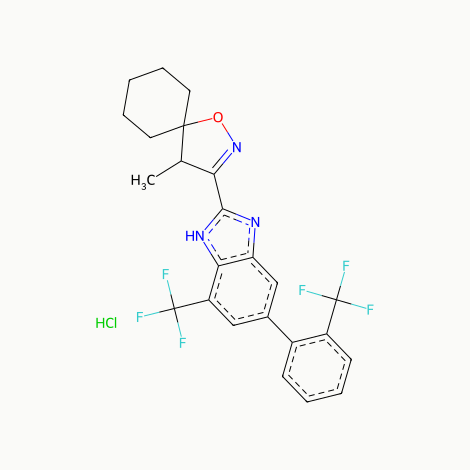 CC1C(c2nc3cc(-c4ccccc4C(F)(F)F)cc(C(F)(F)F)c3[nH]2)=NOC12CCCCC2.Cl